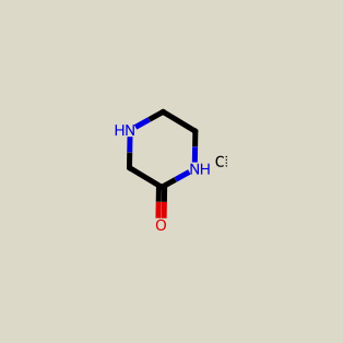 O=C1CNCCN1.[C]